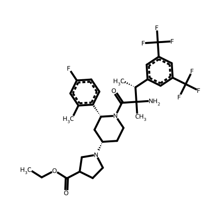 CCOC(=O)C1CCN([C@H]2CCN(C(=O)C(C)(N)[C@H](C)c3cc(C(F)(F)F)cc(C(F)(F)F)c3)[C@@H](c3ccc(F)cc3C)C2)C1